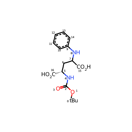 CC(C)(C)OC(=O)N[C@@H](CC(Nc1ccccc1)C(=O)O)C(=O)O